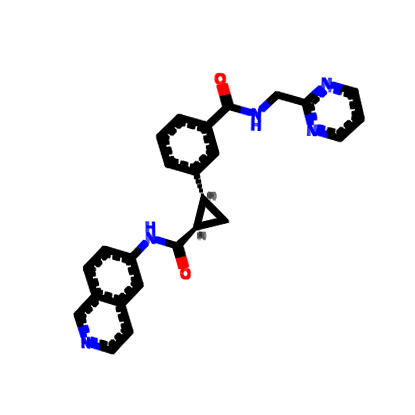 O=C(NCc1ncccn1)c1cccc([C@@H]2C[C@H]2C(=O)Nc2ccc3cnccc3c2)c1